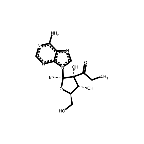 CCC(=O)[C@@]1(O)[C@H](O)[C@@H](CO)O[C@@]1(Br)n1cnc2c(N)ncnc21